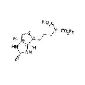 CCOC(=O)N(CCC[C@@H]1SC[C@@H]2NC(=O)N[C@@H]21)C(=O)O